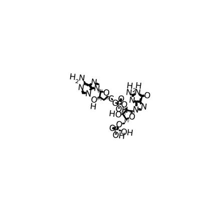 Nc1nc2c(ncn2[C@@H]2O[C@H](COP(=O)(O)O)[C@@H](O)[C@H]2OP(=O)(O)OC[C@@H]2C[C@@H](O)[C@H](n3cnc4c(N)ncnc43)O2)c(=O)[nH]1